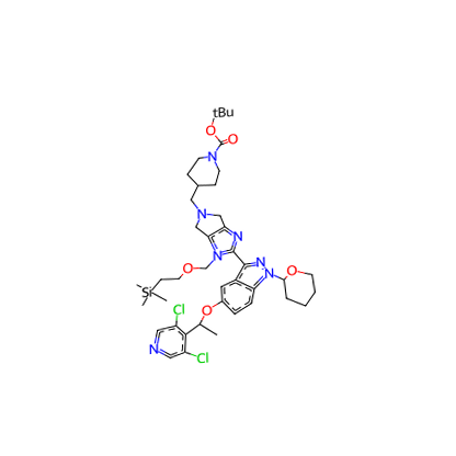 CC(Oc1ccc2c(c1)c(-c1nc3c(n1COCC[Si](C)(C)C)CN(CC1CCN(C(=O)OC(C)(C)C)CC1)C3)nn2C1CCCCO1)c1c(Cl)cncc1Cl